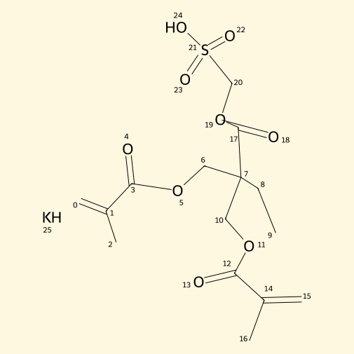 C=C(C)C(=O)OCC(CC)(COC(=O)C(=C)C)C(=O)OCS(=O)(=O)O.[KH]